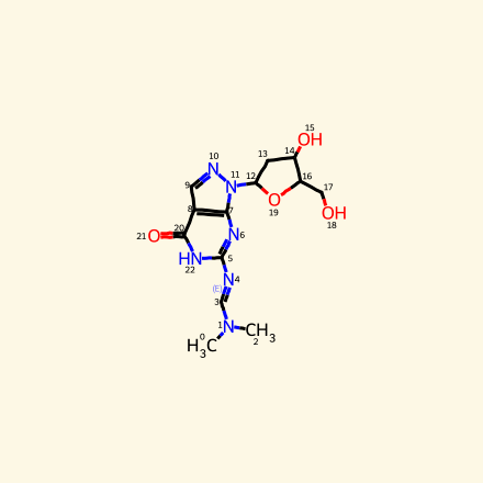 CN(C)/C=N/c1nc2c(cnn2C2CC(O)C(CO)O2)c(=O)[nH]1